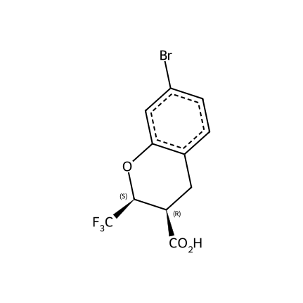 O=C(O)[C@@H]1Cc2ccc(Br)cc2O[C@@H]1C(F)(F)F